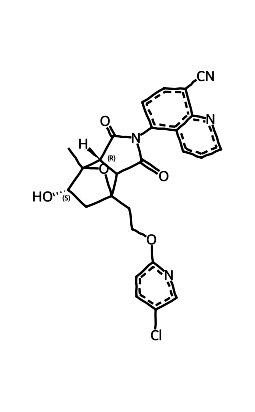 CC12OC(CCOc3ccc(Cl)cn3)(C[C@@H]1O)C1C(=O)N(c3ccc(C#N)c4ncccc34)C(=O)[C@H]12